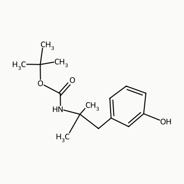 CC(C)(Cc1cccc(O)c1)NC(=O)OC(C)(C)C